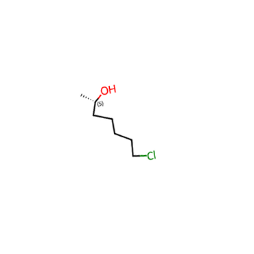 C[C@H](O)CCCCCCl